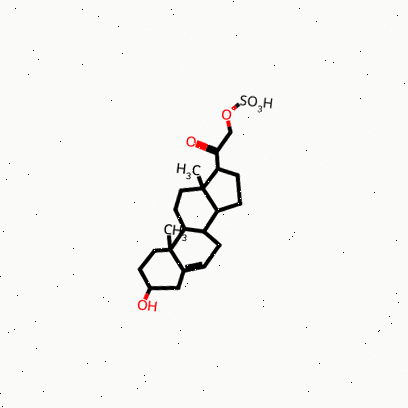 CC12CCC(O)CC1=CCC1C2CCC2(C)C(C(=O)COS(=O)(=O)O)CCC12